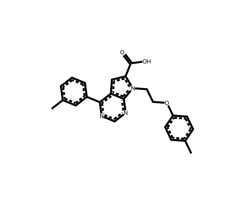 Cc1ccc(OCCn2c(C(=O)O)cc3c(-c4cccc(C)c4)ncnc32)cc1